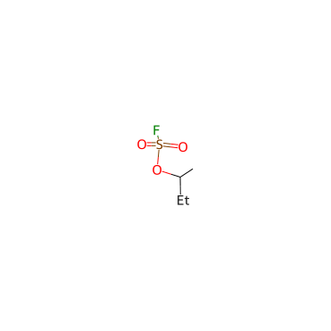 CCC(C)OS(=O)(=O)F